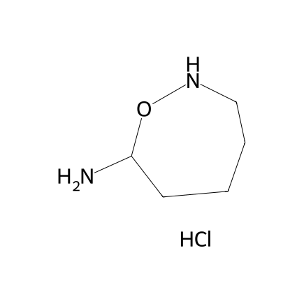 Cl.NC1CCCCNO1